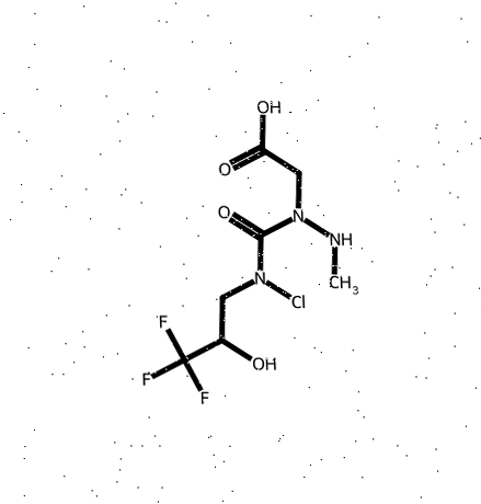 CNN(CC(=O)O)C(=O)N(Cl)CC(O)C(F)(F)F